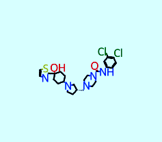 O=C(Nc1ccc(Cl)c(Cl)c1)N1CCN(C[C@@H]2CCN([C@H]3CC[C@](O)(c4nccs4)CC3)C2)CC1